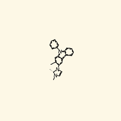 Cc1cc2c(cc1N1C=CN(C)[C@@H]1C)c1ccccc1n2-c1ccccc1